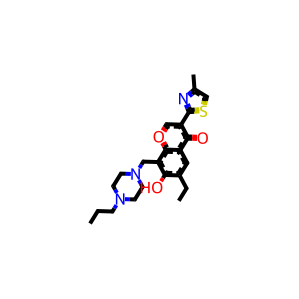 CCCN1CCN(Cc2c(O)c(CC)cc3c(=O)c(-c4nc(C)cs4)coc23)CC1